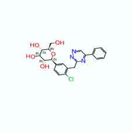 OC[C@H]1O[C@@H](c2ccc(Cl)c(Cc3nncc(-c4ccccc4)n3)c2)[C@H](O)[C@@H](O)[C@@H]1O